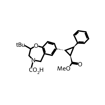 COC(=O)[C@@H]1[C@H](c2ccccc2)[C@H]1c1ccc2c(c1)CN(C(=O)O)CC(C(C)(C)C)O2